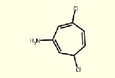 NC1=CC(Cl)C=CC(Cl)=C1